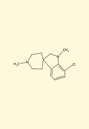 CN1CCC2(CC1)CN(C)c1c(Cl)cccc12